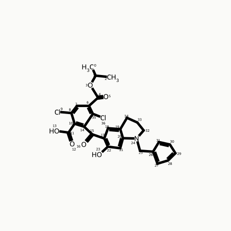 CC(C)OC(=O)c1cc(Cl)c(C(=O)O)c(C(=O)c2cc3c(cc2O)N(Cc2ccccc2)CCC3)c1Cl